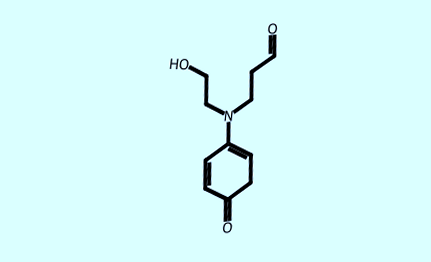 O=CCCN(CCO)C1=CCC(=O)C=C1